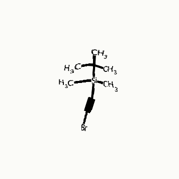 CC(C)(C)[Si](C)(C)C#CBr